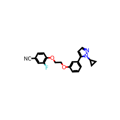 N#Cc1ccc(OCCOc2cccc(-c3ccnn3C3CC3)c2)c(F)c1